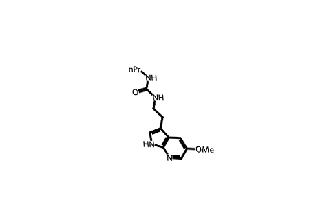 CCCNC(=O)NCCc1c[nH]c2ncc(OC)cc12